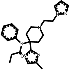 CCC(=O)N(c1ccccc1)C1(c2nc(C)cs2)CCN(CCn2cccn2)CC1